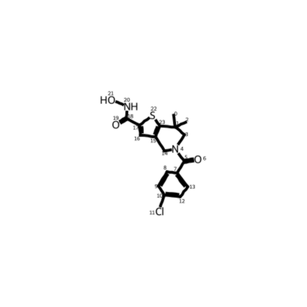 CC1(C)CN(C(=O)c2ccc(Cl)cc2)Cc2cc(C(=O)NO)sc21